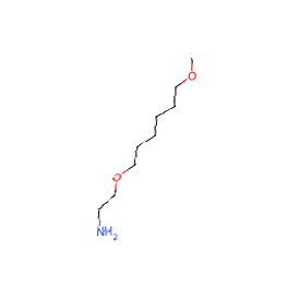 COCCCCCCOCCN